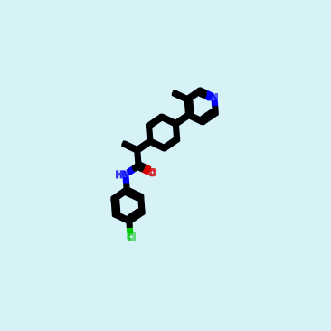 Cc1cnccc1C1CCC(C(C)C(=O)Nc2ccc(Cl)cc2)CC1